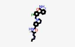 CC/C=C\C=C(/C)[C@H](C)NC(=O)c1ccc2c(c1)CCCN2Cc1cc(-c2ccccc2C(N)=O)ccc1F